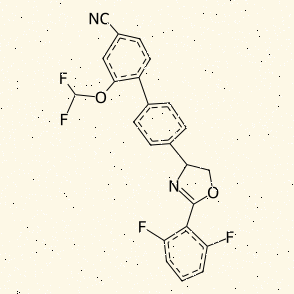 N#Cc1ccc(-c2ccc(C3COC(c4c(F)cccc4F)=N3)cc2)c(OC(F)F)c1